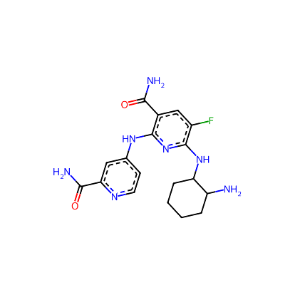 NC(=O)c1cc(Nc2nc(NC3CCCCC3N)c(F)cc2C(N)=O)ccn1